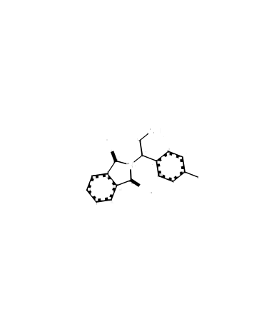 Cc1ccc(C(CN)N2C(=O)c3ccccc3C2=O)cc1.Cl